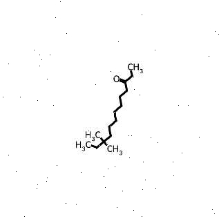 CCC(=O)CCCCCCCC(C)(C)CC